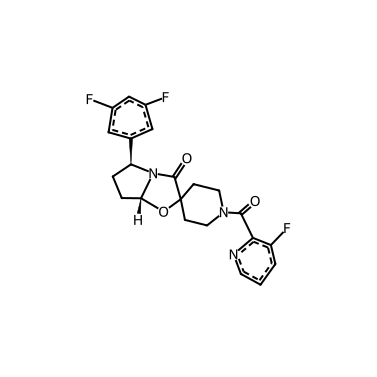 O=C(c1ncccc1F)N1CCC2(CC1)O[C@@H]1CC[C@@H](c3cc(F)cc(F)c3)N1C2=O